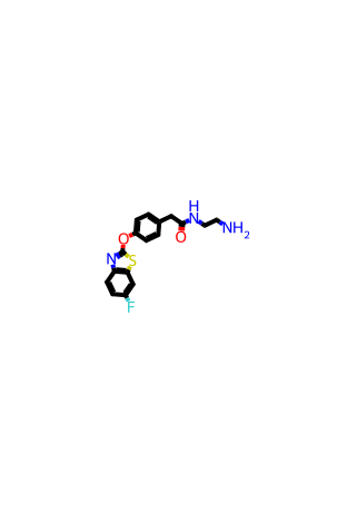 NCCNC(=O)Cc1ccc(Oc2nc3ccc(F)cc3s2)cc1